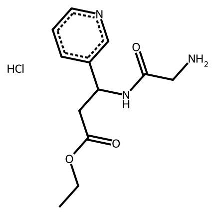 CCOC(=O)CC(NC(=O)CN)c1cccnc1.Cl